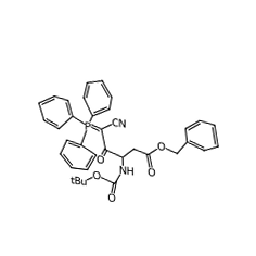 CC(C)(C)OC(=O)NC(CC(=O)OCc1ccccc1)C(=O)C(C#N)=P(c1ccccc1)(c1ccccc1)c1ccccc1